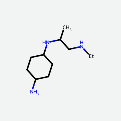 CCNCC(C)NC1CCC(N)CC1